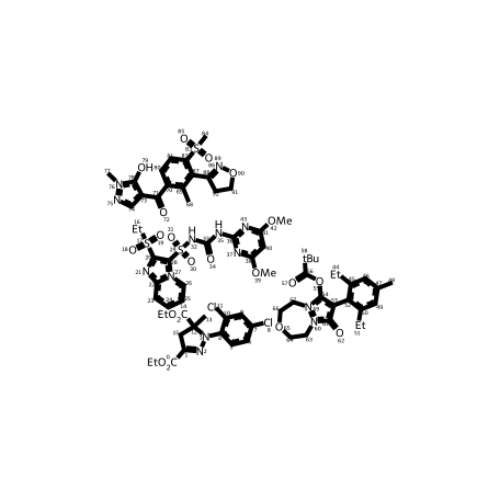 CCOC(=O)C1=NN(c2ccc(Cl)cc2Cl)C(C)(C(=O)OCC)C1.CCS(=O)(=O)c1nc2ccccn2c1S(=O)(=O)NC(=O)Nc1nc(OC)cc(OC)n1.CCc1cc(C)cc(CC)c1-c1c(OC(=O)C(C)(C)C)n2n(c1=O)CCOCC2.Cc1c(C(=O)c2cnn(C)c2O)ccc(S(C)(=O)=O)c1C1=NOCC1